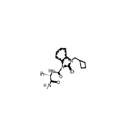 CC(C)[C@H](NC(=O)n1c(=O)n(CC2CCC2)c2ccccc21)C(N)=O